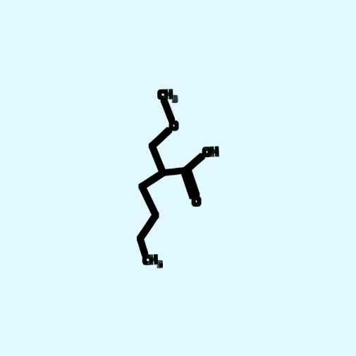 CCCCC(COC)C(=O)O